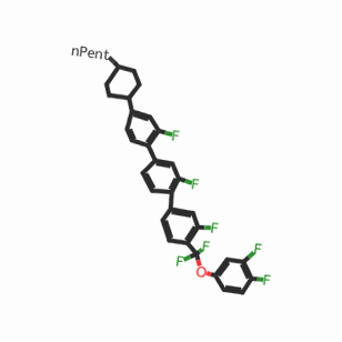 CCCCCC1CCC(c2ccc(-c3ccc(-c4ccc(C(F)(F)Oc5ccc(F)c(F)c5)c(F)c4)c(F)c3)c(F)c2)CC1